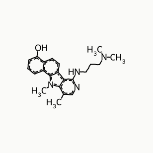 Cc1cnc(NCCCN(C)C)c2c3ccc4c(O)cccc4c3n(C)c12